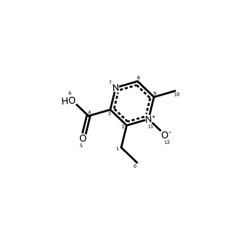 CCc1c(C(=O)O)ncc(C)[n+]1[O-]